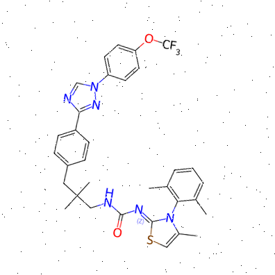 Cc1cccc(C)c1-n1c(C)cs/c1=N\C(=O)NCC(C)(C)Cc1ccc(-c2ncn(-c3ccc(OC(F)(F)F)cc3)n2)cc1